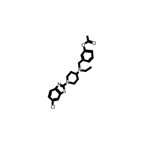 CCN(Cc1cccc(OC(C)=O)c1)C1CCN(c2nc3ccc(Cl)cc3s2)CC1